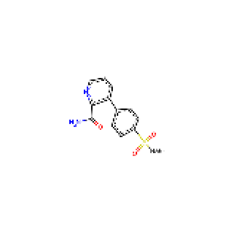 CNS(=O)(=O)c1ccc(-c2cccnc2C(N)=O)cc1